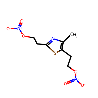 Cc1nc(CCO[N+](=O)[O-])sc1CCO[N+](=O)[O-]